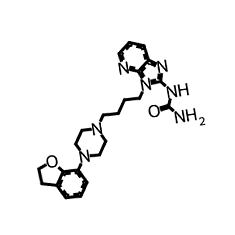 NC(=O)Nc1nc2cccnc2n1CCCCN1CCN(c2cccc3c2OCC3)CC1